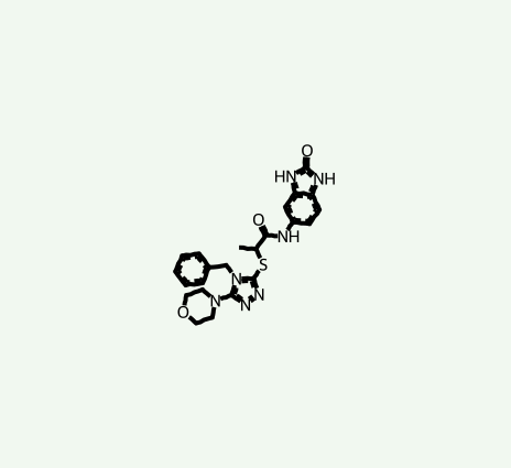 CC(Sc1nnc(N2CCOCC2)n1Cc1ccccc1)C(=O)Nc1ccc2[nH]c(=O)[nH]c2c1